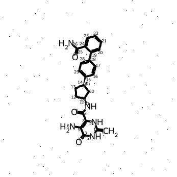 C=C1NC(=O)C(N)=C(C(=O)N[C@H]2CC[C@@H](c3ccc(-c4ccccc4C(N)=O)cc3)C2)N1